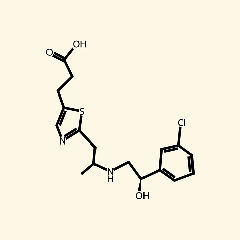 CC(Cc1ncc(CCC(=O)O)s1)NC[C@H](O)c1cccc(Cl)c1